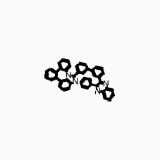 c1ccc(-c2nc3ccccc3nc2-c2cccc(-c3cccc(-c4nc5cccc6c5n4-c4ccccc4-c4ccccc4-6)c3)c2)cc1